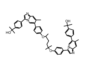 Cc1cc2ncc(-c3ccc(OC(C)(C)CCC(C)Oc4ccc(-c5cn6c(-c7ccc(C(C)(C)O)cc7)cnc6cc5C)cc4)cc3)n2cc1-c1ccc(C(C)(C)O)cc1